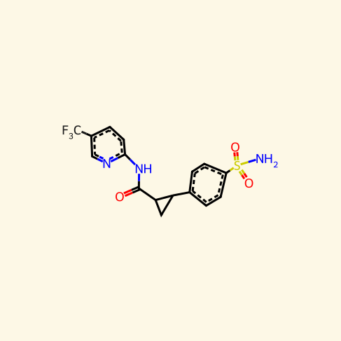 NS(=O)(=O)c1ccc(C2CC2C(=O)Nc2ccc(C(F)(F)F)cn2)cc1